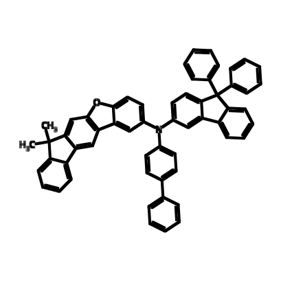 CC1(C)c2ccccc2-c2cc3c(cc21)oc1ccc(N(c2ccc(-c4ccccc4)cc2)c2ccc4c(c2)-c2ccccc2C4(c2ccccc2)c2ccccc2)cc13